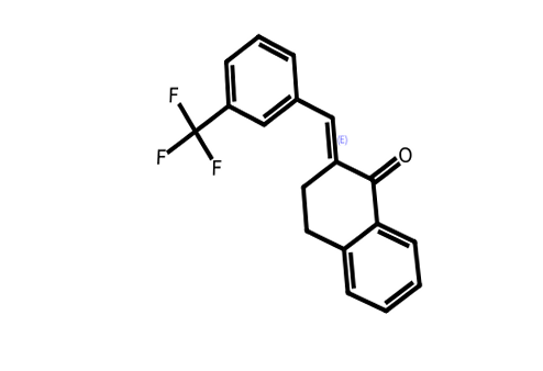 O=C1/C(=C/c2cccc(C(F)(F)F)c2)CCc2ccccc21